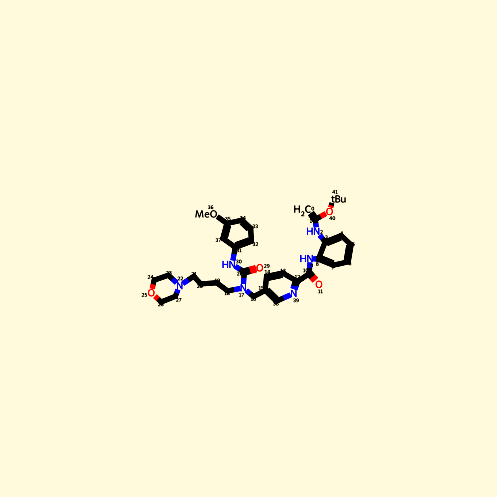 C=C(Nc1ccccc1NC(=O)c1ccc(CN(CCCCN2CCOCC2)C(=O)Nc2cccc(OC)c2)cn1)OC(C)(C)C